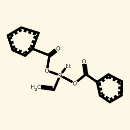 C=C[Si](CC)(OC(=O)c1ccccc1)OC(=O)c1ccccc1